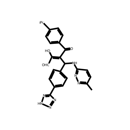 Cc1ccc(NC(/C(C(=O)c2ccc(C(C)C)cc2)=C(/O)C=O)c2ccc(-c3nn[nH]n3)cc2)nn1